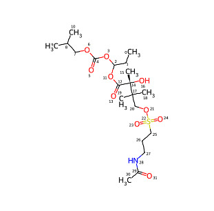 CCC(OC(=O)OCC(C)C)OC(=O)[C@](C)(O)C(C)(C)COS(=O)(=O)CCCNC(C)=O